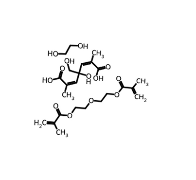 C=C(C)C(=O)OCCOCCOC(=O)C(=C)C.CC(=CC(O)(C=C(C)C(=O)O)CO)C(=O)O.OCCO